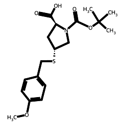 COc1ccc(CS[C@@H]2C[C@@H](C(=O)O)N(C(=O)OC(C)(C)C)C2)cc1